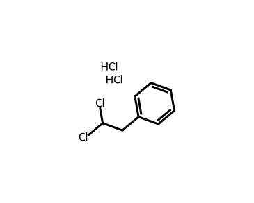 Cl.Cl.ClC(Cl)Cc1ccccc1